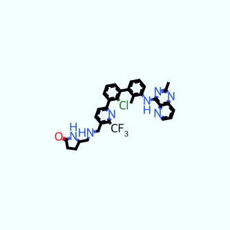 Cc1nc(Nc2cccc(-c3cccc(-c4ccc(CNCC5CCC(=O)N5)c(C(F)(F)F)n4)c3Cl)c2C)c2ncccc2n1